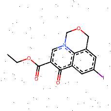 CCOC(=O)c1cn2c3c(cc(I)cc3c1=O)COC2